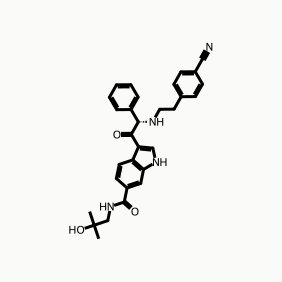 CC(C)(O)CNC(=O)c1ccc2c(C(=O)[C@@H](NCCc3ccc(C#N)cc3)c3ccccc3)c[nH]c2c1